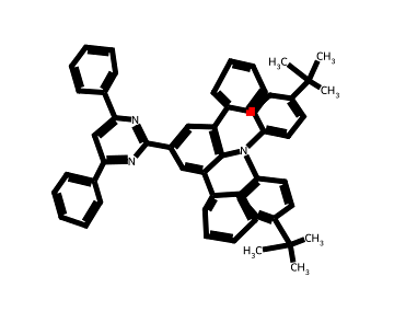 CC(C)(C)C1=CC=C(N(c2ccc(C(C)(C)C)cc2)c2c(-c3c#cccc3)cc(-c3nc(-c4ccccc4)cc(-c4ccccc4)n3)cc2-c2ccccc2)CC1